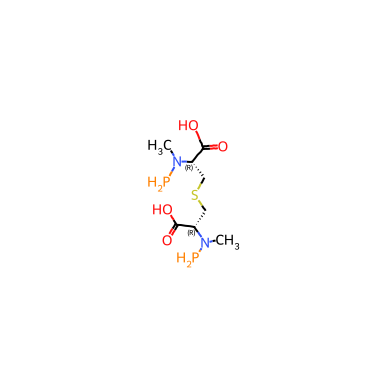 CN(P)[C@@H](CSC[C@@H](C(=O)O)N(C)P)C(=O)O